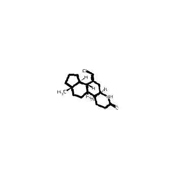 C[C@@]12CCC[C@H]1[C@@H]1/C(=C\Cl)C[C@H]3NC(=O)CC[C@@H]3[C@H]1CC2